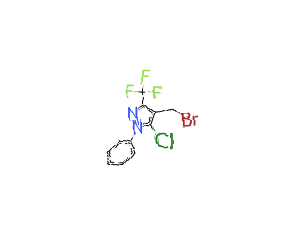 FC(F)(F)c1nn(-c2ccccc2)c(Cl)c1CBr